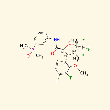 COc1c([C@@H]2[C@@H](C(=O)Nc3cccc(P(C)(C)=O)c3)O[C@](C)(C(F)(F)F)[C@@H]2C)ccc(F)c1F